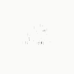 CC[C@@H](C)CC[C@]1(O)[C@@H](C)[C@H](OC(N)=O)[C@H](O)[C@H]2C(C)(C)CC[C@@H](O)[C@@]21C